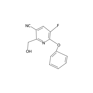 N#Cc1cc(F)c(Oc2ccccc2)nc1CO